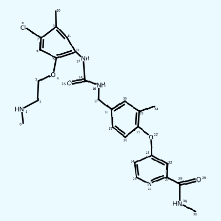 CNCCOc1cc(Cl)c(C)cc1NC(=O)NCc1ccc(Oc2ccnc(C(=O)NC)c2)c(C)c1